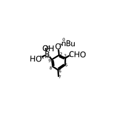 CCCCOc1c(C=O)cc(C)cc1B(O)O